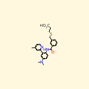 Cc1ccnc(-c2cc(N(C)C)ccc2NC(=O)c2cccc(CSCCC(=O)O)c2)c1